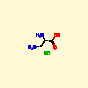 Cl.NCC(N)C(=O)O